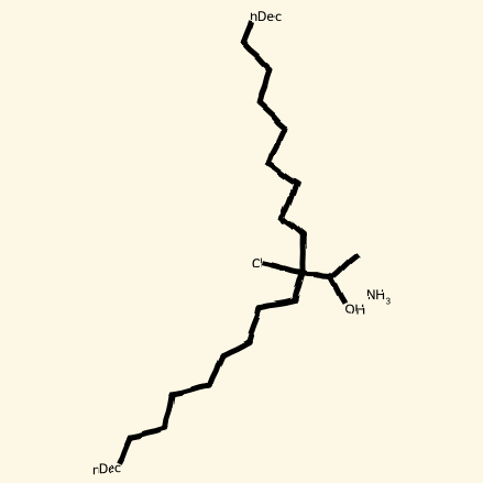 CCCCCCCCCCCCCCCCCCC(Cl)(CCCCCCCCCCCCCCCCCC)C(C)O.N